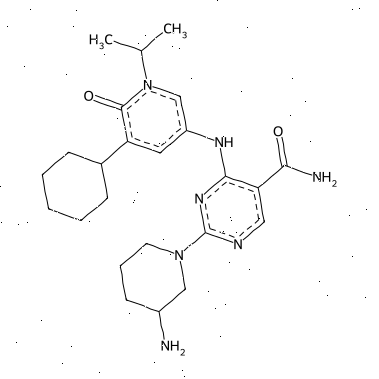 CC(C)n1cc(Nc2nc(N3CCCC(N)C3)ncc2C(N)=O)cc(C2CCCCC2)c1=O